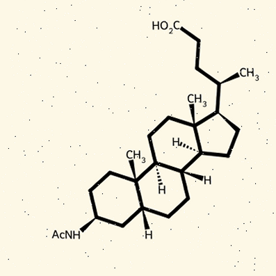 CC(=O)N[C@H]1CC[C@@]2(C)[C@H](CC[C@@H]3[C@@H]2CC[C@]2(C)[C@@H]([C@H](C)CCC(=O)O)CC[C@@H]32)C1